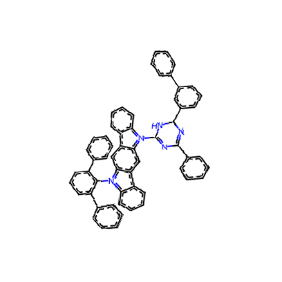 c1ccc(C2=NC(c3cccc(-c4ccccc4)c3)NC(n3c4ccccc4c4cc5c(cc43)c3ccccc3n5-c3c(-c4ccccc4)cccc3-c3ccccc3)=N2)cc1